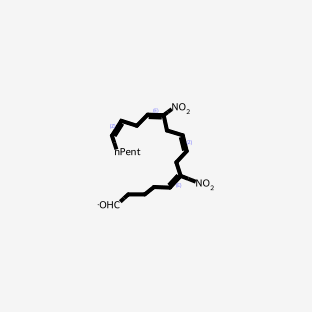 CCCCC/C=C\C/C=C(\C/C=C\C/C(=C\CCC[C]=O)[N+](=O)[O-])[N+](=O)[O-]